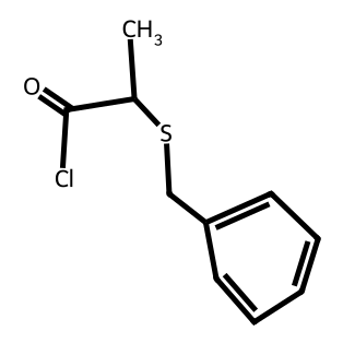 CC(SCc1ccccc1)C(=O)Cl